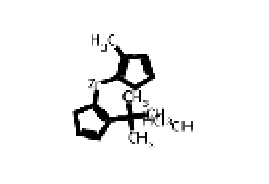 CC1=[C]([Zr][C]2=C(C(C)(C)C)C=CC2)CC=C1.Cl.Cl